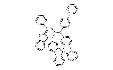 c1ccc(-c2ccc(N(c3ccc4c(c3)C3(c5ccccc5-c5ccccc53)c3ccccc3-4)c3cc(-c4ccccc4)c4sc5ccccc5c4c3)cc2)cc1